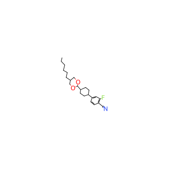 CCCCCCC1COC(C2CCC(c3ccc(C#N)c(F)c3)CC2)OC1